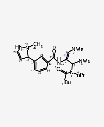 CCCN(C(=O)C(C)CC)C(NC)/C(=C\NC)NC(=O)c1cccc(C2C=CNN2C)c1